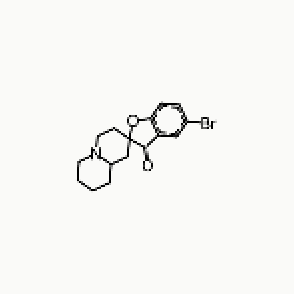 O=C1c2cc(Br)ccc2OC12CCN1CCCCC1C2